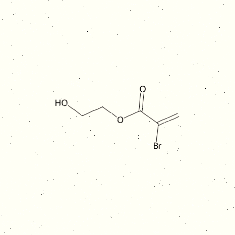 C=C(Br)C(=O)OCCO